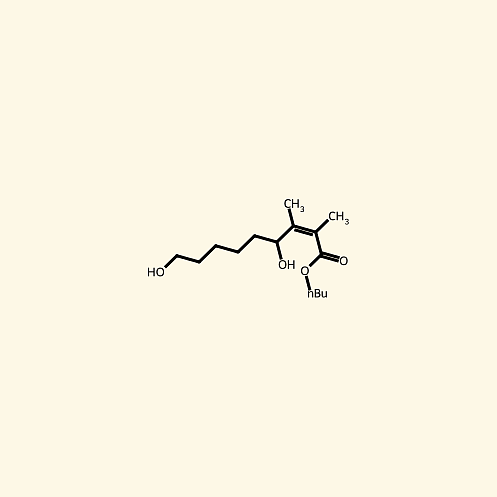 CCCCOC(=O)C(C)=C(C)C(O)CCCCCO